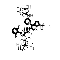 CNC1CCc2c1ncc(NC(=O)c1nc(-c3c(F)cccc3F)sc1NC(=O)OC(C)(C)C)c2N1CCC[C@H](NC(=O)OC(C)(C)C)C1